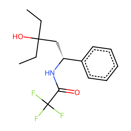 CCC(O)(CC)C[C@@H](NC(=O)C(F)(F)F)c1ccccc1